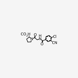 N#Cc1cc(C(=O)NCC(=O)N2CCC[C@H]2C(=O)O)ccc1Cl